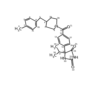 Cc1ccc(CC2CCN(C(=O)c3ccc(C4(C(C)C)NC(=O)NC4=O)cc3)CC2)cc1